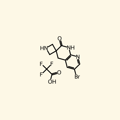 O=C(O)C(F)(F)F.O=C1Nc2ncc(Br)cc2CC12CNC2